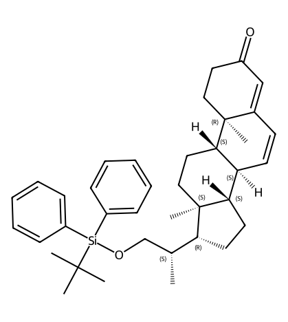 C[C@H](CO[Si](c1ccccc1)(c1ccccc1)C(C)(C)C)[C@H]1CC[C@H]2[C@@H]3C=CC4=CC(=O)CC[C@]4(C)[C@H]3CC[C@]12C